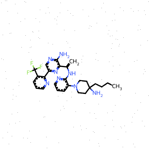 C=C(Nc1ncccc1N1CCC(N)(CCCC)CC1)c1nc(-c2ncccc2C(F)(F)F)cnc1N